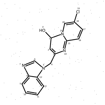 OC1C=C(Cn2cnc3ccccc32)N=C2C=CC(Cl)=CN21